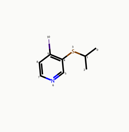 CC(C)Sc1cnccc1I